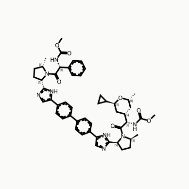 COC(=O)N[C@H](C(=O)N1[C@@H](C)CC[C@H]1c1ncc(-c2ccc(-c3ccc(-c4cnc([C@@H]5CC[C@H](C)N5C(=O)[C@H](NC(=O)OC)c5ccccc5)[nH]4)cc3)cc2)[nH]1)[C@H]1C[C@@H](C)O[C@H](C2CC2)C1